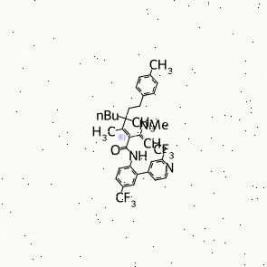 C=C(NC)/C(C(=O)Nc1ccc(C(F)(F)F)cc1-c1ccnc(C(F)(F)F)c1)=C(/C)C(C)(CCCC)CCc1ccc(C)cc1